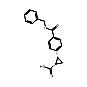 O=C(OCc1ccccc1)c1ccc([C@@H]2C[C@H]2C(=O)O)cc1